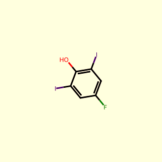 Oc1c(I)cc(F)cc1I